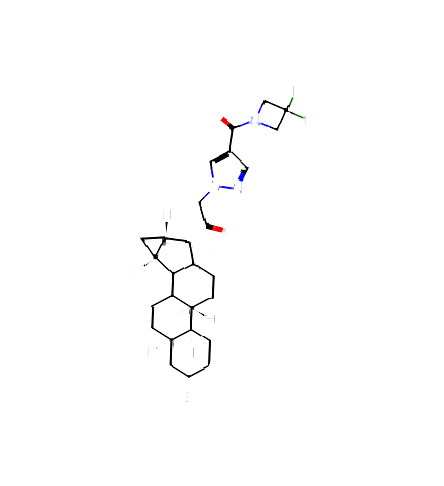 C[C@H]1CC[C@H]2[C@H](CCC3C4[C@@H]5C[C@@H]5[C@H](C(=O)Cn5cc(C(=O)N6CC(F)(F)C6)cn5)[C@@]4(C)CC[C@@H]32)C1